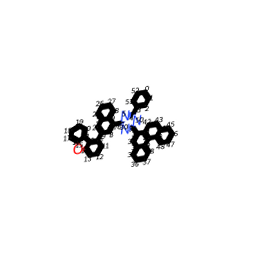 c1ccc(-c2nc(-c3cc(-c4cccc5oc6ccccc6c45)cc4ccccc34)nc(-c3cc4ccccc4c4c3ccc3ccccc34)n2)cc1